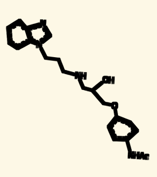 CC(=O)Nc1ccc(OCC(O)CNCCCn2cnc3ccccc32)cc1